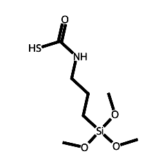 CO[Si](CCCNC(=O)S)(OC)OC